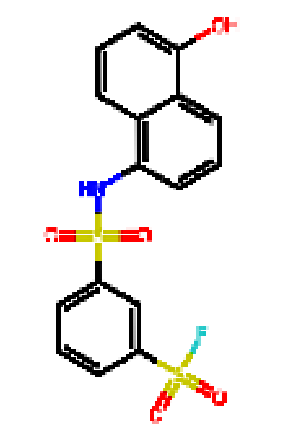 O=S(=O)(F)c1cccc(S(=O)(=O)Nc2cccc3c(O)cccc23)c1